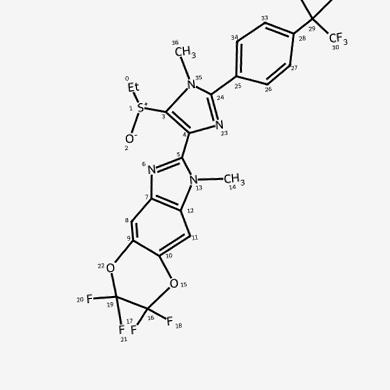 CC[S+]([O-])c1c(-c2nc3cc4c(cc3n2C)OC(F)(F)C(F)(F)O4)nc(-c2ccc(C3(C(F)(F)F)CC3)cc2)n1C